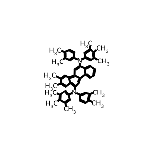 Cc1ccc(N(c2cc(C)c(C)c(C)c2)c2cc3c4cc(C)c(C)cc4c(N(c4ccc(C)c(C)c4)c4cc(C)c(C)c(C)c4)cc3c3ccccc23)cc1C